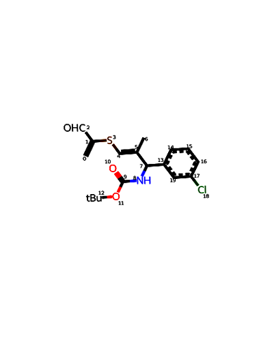 C=C(C=O)S/C=C(\C)C(NC(=O)OC(C)(C)C)c1cccc(Cl)c1